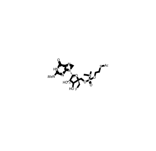 CNc1nc2c(ncn2[C@@H]2O[C@](CF)(COP(=O)(OCCSC(C)=O)N(C)C)C(O)[C@@H]2O)c(=O)[nH]1